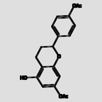 CC(=O)Oc1ccc(C2CCc3c(O)cc(OC(C)=O)cc3O2)cc1